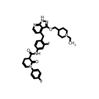 CCN1CCC(COc2n[nH]c3nccc(Cc4ccc(NC(=O)C5CC=CN(c6ccc(F)cc6)C5=O)cc4F)c23)CC1